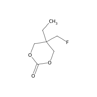 CCC1(CF)COC(=O)OC1